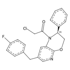 O=C(CCl)N1c2cc(Cc3ccc(F)cc3)cnc2OC[C@@H]1c1ccccc1